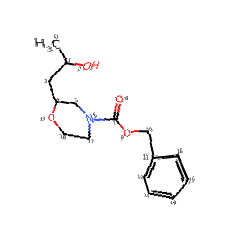 CC(O)CC1CN(C(=O)OCc2ccccc2)CCO1